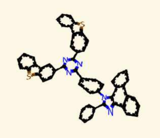 c1ccc(-c2nc3c4ccccc4c4ccccc4c3n2-c2ccc(-c3nc(-c4ccc5sc6ccccc6c5c4)nc(-c4ccc5sc6ccccc6c5c4)n3)cc2)cc1